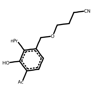 CCCc1c(COCCCC#N)ccc(C(C)=O)c1O